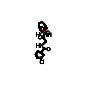 O=C(CNC(=O)c1cccc(Cl)c1)NC1CC2CCC(C1)N2C(=O)O